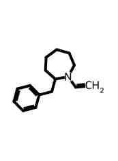 C=CN1CCCCCC1Cc1ccccc1